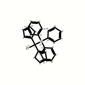 [Zr][C](C1=CC=CC1)(C1=CC=CC1)[Si](c1ccccc1)(c1ccccc1)c1ccccc1